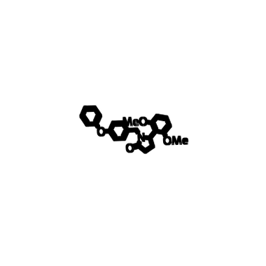 COc1cccc(OC)c1C1CCC(=O)N1Cc1ccc(Oc2ccccc2)cc1